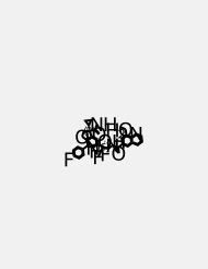 COc1cc(C(=O)NC[C@](O)(c2cc3c(c(-c4ccc(F)cc4)n2)OC[C@@]3(C(N)=O)C2CC2)C(F)(F)F)cc2cccnc12